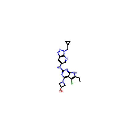 CCc1[nH]c2nc(Nc3cnc4c(c3)nnn4CC3CC3)nc(N3CC(O)C3)c2c1Br